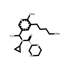 COCCCCc1cc(C(C)N(C(=O)[C@H]2CNCCO2)C2CC2)cnc1OC